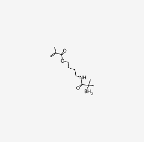 BC(C)(C)C(=O)NCCCCOC(=O)C(=C)C